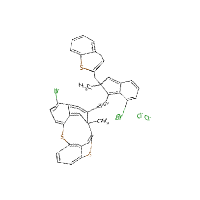 CC1(c2cc3ccccc3s2)C=c2cccc(Br)c2=[C]1[Zr+2][C]1=c2c(Br)ccc3c2=CC1(C)c1cc2c(cccc2s1)S3.[Cl-].[Cl-]